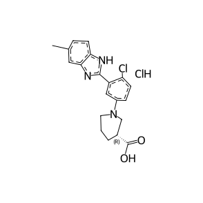 Cc1ccc2[nH]c(-c3cc(N4CCC[C@@H](C(=O)O)C4)ccc3Cl)nc2c1.Cl